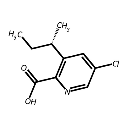 CC[C@H](C)c1cc(Cl)cnc1C(=O)O